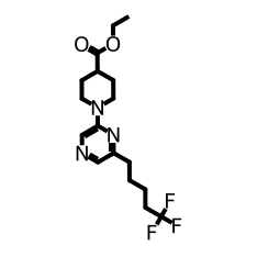 CCOC(=O)C1CCN(c2cncc(CCCCC(F)(F)F)n2)CC1